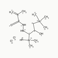 C=C(C)C(=O)NNC(C(O)C[N+](C)(C)C)[N+](C)(C)CCC.[Cl-].[Cl-]